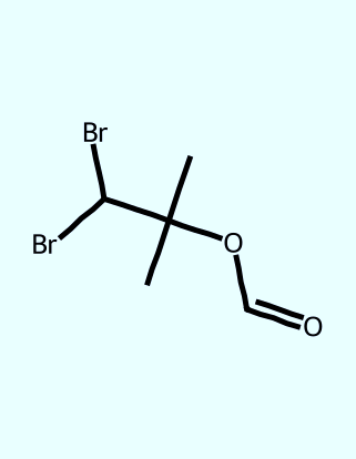 CC(C)(OC=O)C(Br)Br